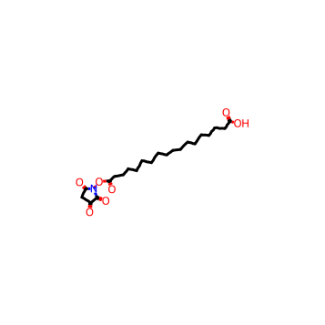 O=C(O)CCCCCCCCCCCCCCCCC(=O)ON1C(=O)CC(=O)C1=O